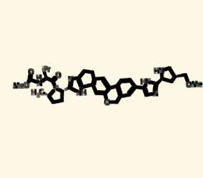 COC[C@@H]1CN[C@H](c2ncc(-c3ccc4c(c3)COc3cc5c(cc3-4)CCc3nc([C@@H]4CC[C@H](C)N4C(=O)[C@@H](NC(=O)OC)C(C)C)[nH]c3-5)[nH]2)C1